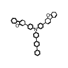 C1=CC2=C(CC1)OC1CC(c3ccc(N(c4ccc(-c5ccc(-c6ccccc6)cc5)cc4)c4ccc(C5C=c6oc7ccccc7c6=CC5)cc4)cc3)C=CC21